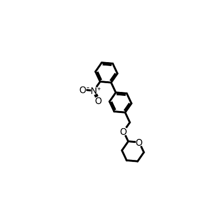 O=[N+]([O-])c1ccccc1-c1ccc(COC2CCCCO2)cc1